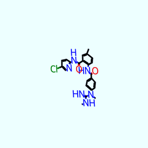 CNC(=N)N(C)c1ccc(C(=O)Nc2ccc(C)cc2C(=O)Nc2ccc(Cl)cn2)cc1